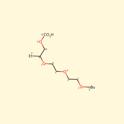 CCCCOCCOCCOC(CC)COC(=O)O